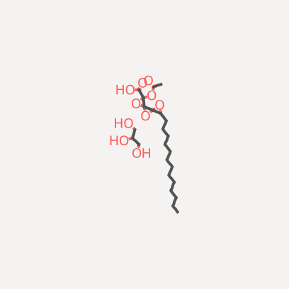 CCCCCCCCCCCCCC1OC12OC21OC1(OC(C)=O)C(=O)O.OCC(O)CO